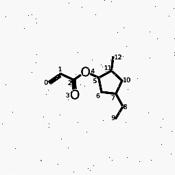 C=CC(=O)OC1CC(CC)CC1C